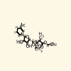 CC(=O)C1=CN([C@@H]2O[C@H](COP(C)(=O)N[C@@H](C)C(=O)OCC(C)(C)C)[C@@H](O)[C@H]2O)C=CC1